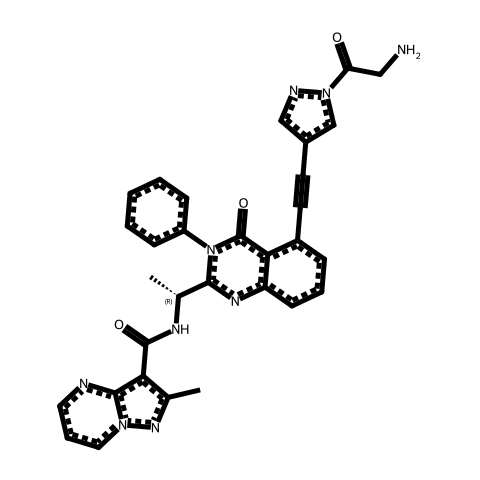 Cc1nn2cccnc2c1C(=O)N[C@H](C)c1nc2cccc(C#Cc3cnn(C(=O)CN)c3)c2c(=O)n1-c1ccccc1